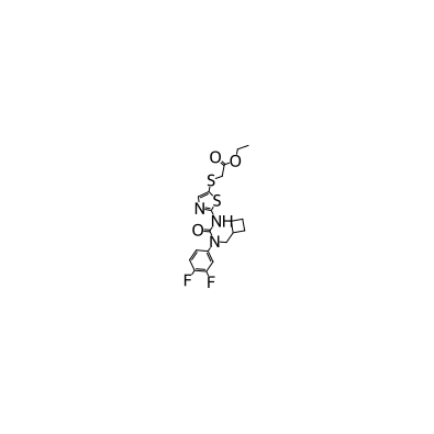 CCOC(=O)CSc1cnc(NC(=O)N(CC2CCC2)c2ccc(F)c(F)c2)s1